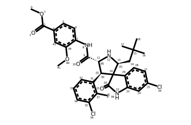 COC(=O)c1ccc(NC(=O)[C@@H]2N[C@@H](CC(C)(C)C)C3(C(=O)Nc4cc(Cl)ccc43)[C@H]2c2cccc(Cl)c2F)c(OC)c1